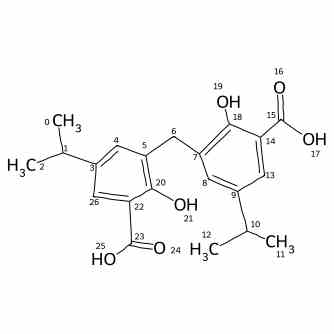 CC(C)c1cc(Cc2cc(C(C)C)cc(C(=O)O)c2O)c(O)c(C(=O)O)c1